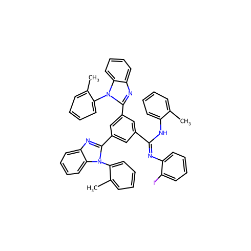 Cc1ccccc1N/C(=N\c1ccccc1I)c1cc(-c2nc3ccccc3n2-c2ccccc2C)cc(-c2nc3ccccc3n2-c2ccccc2C)c1